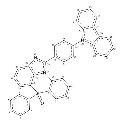 O=P1(c2ccccc2)c2ccccc2-n2c(-c3ccc(-n4c5ccccc5c5ccccc54)cc3)nc3cccc1c32